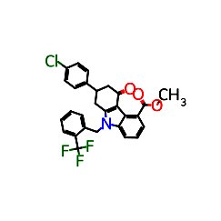 COC(=O)c1cccc2c1c1c(n2Cc2ccccc2C(F)(F)F)CC(c2ccc(Cl)cc2)CC1=O